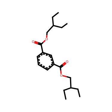 CCC(CC)COC(=O)c1cccc(C(=O)OCC(CC)CC)c1